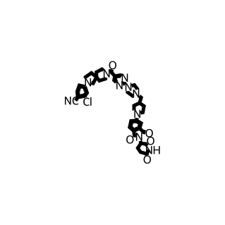 N#Cc1ccc(N2CCC3(CCN(C(=O)c4cnc(N5CCN(CC6CCN(c7ccc8c(c7)C(=O)N(C7CCC(=O)NC7=O)C8=O)CC6)CC5)nc4)CC3)C2)cc1Cl